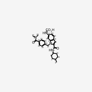 CC1CCC(NC(=O)c2cc3ccc(NC(=O)O)cc3n2Cc2ccc(C(=O)N(C)C)cc2)CC1